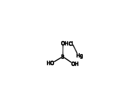 OB(O)O.[Cl][Hg]